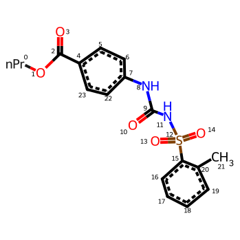 CCCOC(=O)c1ccc(NC(=O)NS(=O)(=O)c2ccccc2C)cc1